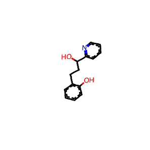 Oc1ccccc1CCC(O)c1ccccn1